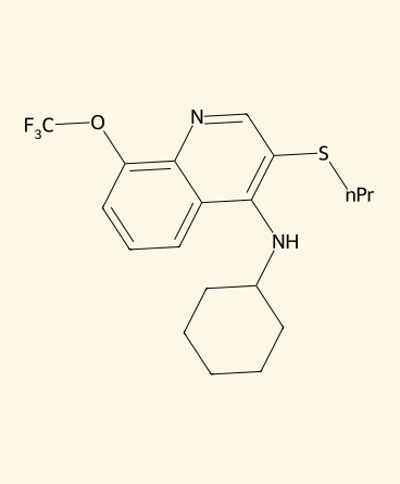 CCCSc1cnc2c(OC(F)(F)F)cccc2c1NC1CCCCC1